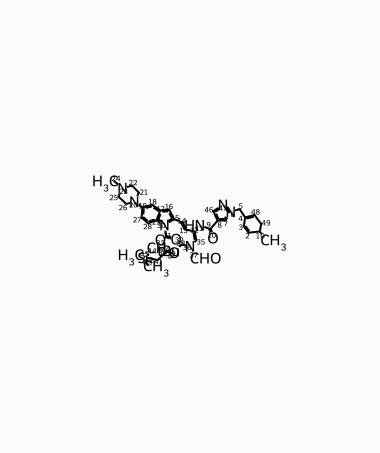 CC1C=CC(Cn2cc(C(=O)NC(/C=C/c3cc4cc(N5CCN(C)CC5)ccc4n3C(=O)OC(C)(C)C)=C/N(C=O)COCC[Si](C)(C)C)cn2)=CC1